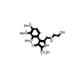 CCOC(=O)c1[nH]c(CNCCO)c(-c2ccc(OC)c(OC)c2OC)c1Cl